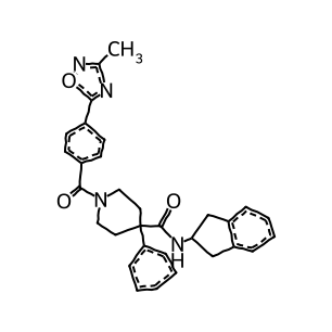 Cc1noc(-c2ccc(C(=O)N3CCC(C(=O)NC4Cc5ccccc5C4)(c4ccccc4)CC3)cc2)n1